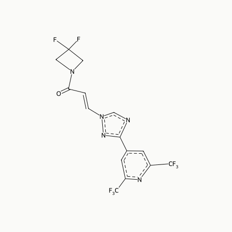 O=C(C=Cn1cnc(-c2cc(C(F)(F)F)nc(C(F)(F)F)c2)n1)N1CC(F)(F)C1